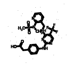 CN(c1ncccc1CNc1nc(Nc2ccc(CC(=O)O)cc2)ncc1C(F)(F)F)S(C)(=O)=O